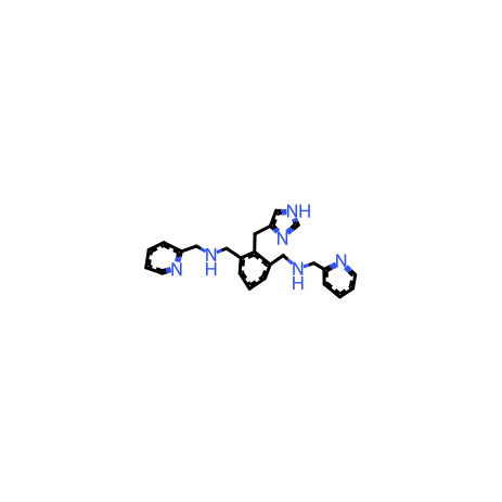 c1ccc(CNCc2cccc(CNCc3ccccn3)c2Cc2c[nH]cn2)nc1